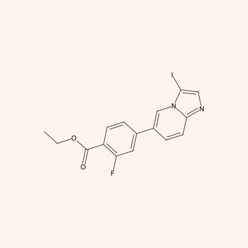 CCOC(=O)c1ccc(-c2ccc3ncc(I)n3c2)cc1F